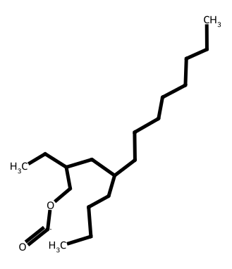 CCCCCCCCC(CCCC)CC(CC)CO[C]=O